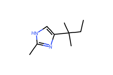 CCC(C)(C)c1c[nH]c(C)n1